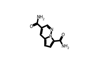 NC(=O)c1cnn2c(C(N)=O)ccc2c1